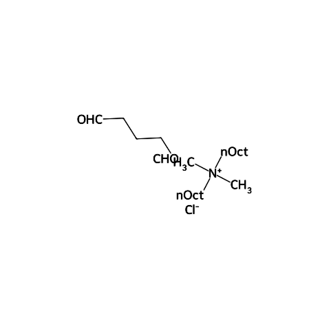 CCCCCCCC[N+](C)(C)CCCCCCCC.O=CCCCC=O.[Cl-]